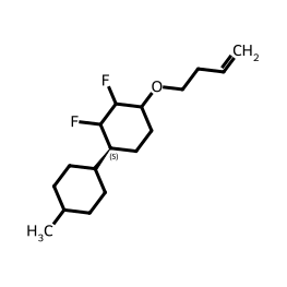 C=CCCOC1CC[C@@H](C2CCC(C)CC2)C(F)C1F